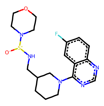 [O-][S+](NCC1CCCN(c2ncnc3ccc(F)cc23)C1)N1CCOCC1